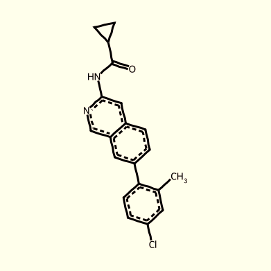 Cc1cc(Cl)ccc1-c1ccc2cc(NC(=O)C3CC3)ncc2c1